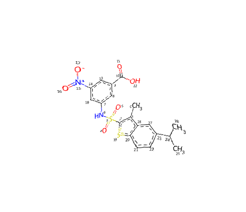 Cc1c(S(=O)(=O)Nc2cc(C(=O)O)cc([N+](=O)[O-])c2)sc2ccc(C(C)C)cc12